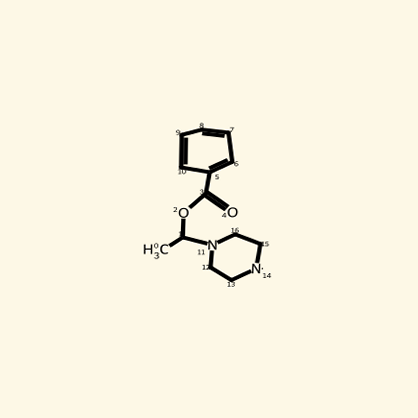 CC(OC(=O)c1ccccc1)N1CC[N]CC1